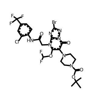 CC(C)(C)OC(=O)N1CCN(c2c(OC(F)F)n(CC(=O)Nc3ccc(C(F)(F)F)cc3Cl)c3nc(Br)nn3c2=O)CC1